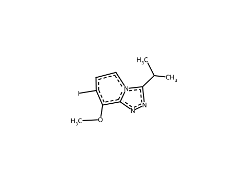 COc1c(I)ccn2c(C(C)C)nnc12